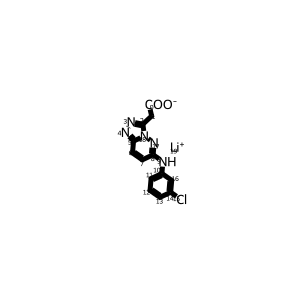 O=C([O-])Cc1nnc2ccc(Nc3cccc(Cl)c3)nn12.[Li+]